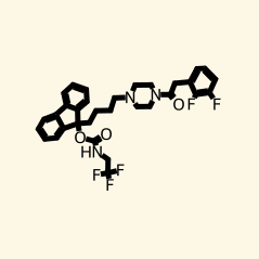 O=C(NCC(F)(F)F)OC1(CCCCN2CCN(C(=O)Cc3cccc(F)c3F)CC2)c2ccccc2-c2ccccc21